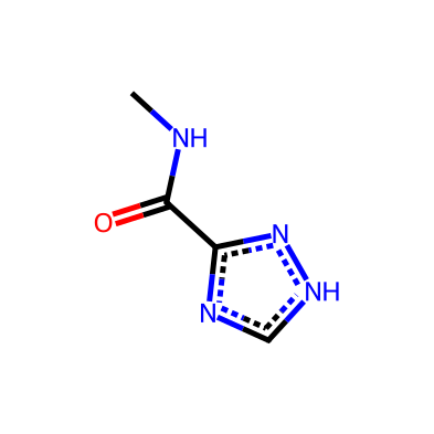 CNC(=O)c1nc[nH]n1